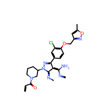 C=CC(=O)N1CCCC(N2N=C(c3ccc(OCc4cc(C)on4)c(Cl)c3)C(=C(\N)N=C)/C2=N\C)C1